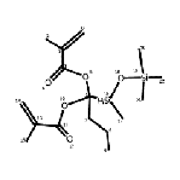 C=C(C)C(=O)OC(CCC)(OC(=O)C(=C)C)[SiH](C)O[Si](C)(C)C